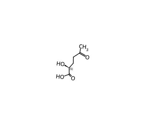 CC(=O)CC[C@H](O)C(=O)O